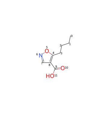 CCCCc1oncc1C(=O)O